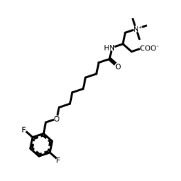 C[N+](C)(C)CC(CC(=O)[O-])NC(=O)CCCCCCCOCc1cc(F)ccc1F